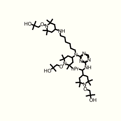 CCCC(Nc1ncnc(N(CCCCCCNC2CC(C)(C)N(OCC(C)(C)O)C(C)(C)C2)C2CC(C)(C)N(OCC(C)(C)O)C(C)(C)C2)n1)C1CC(C)(C)N(OCC(C)(C)O)C(C)(C)C1